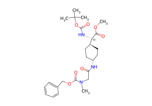 COC(=O)[C@@H](NC(=O)OC(C)(C)C)[C@H]1CC[C@H](NC(=O)CN(C)C(=O)OCc2ccccc2)CC1